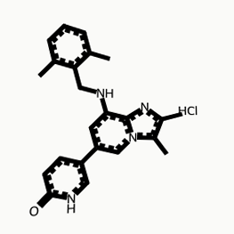 Cc1cccc(C)c1CNc1cc(-c2ccc(=O)[nH]c2)cn2c(C)c(C)nc12.Cl